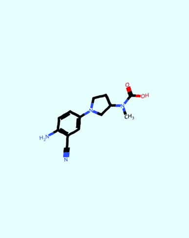 CN(C(=O)O)C1CCN(c2ccc(N)c(C#N)c2)C1